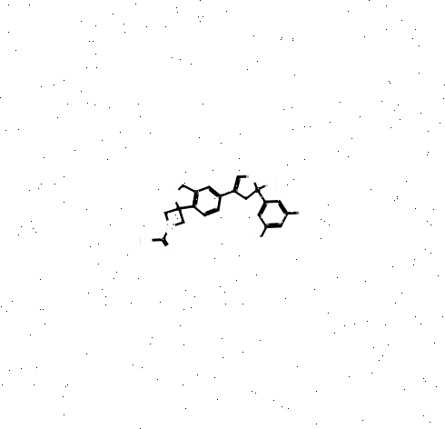 CC(C)C(=O)N1CC2(C1)OCc1cc(C3=COC(c4cc(Cl)cc(Cl)c4)(C(F)(F)F)C3)ccc12